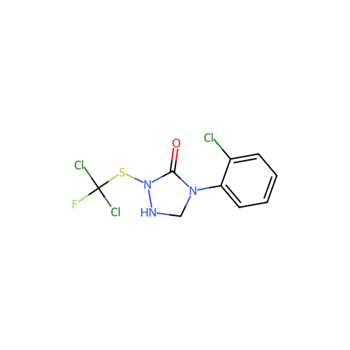 O=C1N(SC(F)(Cl)Cl)NCN1c1ccccc1Cl